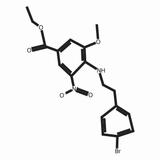 CCOC(=O)c1cc(OC)c(NCCc2ccc(Br)cc2)c([N+](=O)[O-])c1